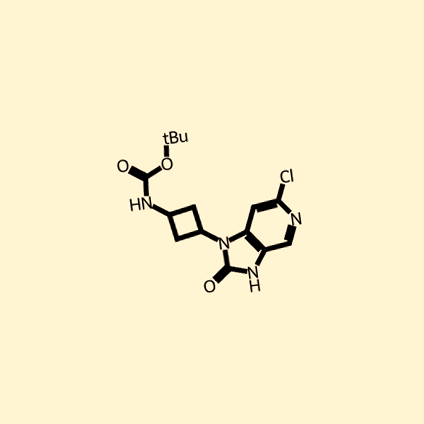 CC(C)(C)OC(=O)NC1CC(n2c(=O)[nH]c3cnc(Cl)cc32)C1